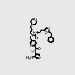 Nc1cscc1NC(=O)c1ccc(CN(CCCN2CCOCC2)C(=O)NCCC2=COC(Cc3ccccc3)O2)cn1